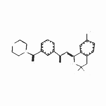 COc1ccc2c(c1)C(=CC(=O)c1cccc(C(=O)N3CCOCC3)c1)NC(C)(C)C2